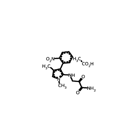 CC(=O)O.Cc1cn(C)c(NCC(=O)C(N)=O)c1-c1ccccc1[N+](=O)[O-]